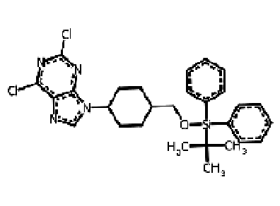 CC(C)(C)[Si](OCC1CCC(n2cnc3c(Cl)nc(Cl)nc32)CC1)(c1ccccc1)c1ccccc1